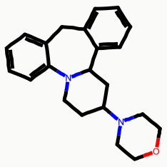 c1ccc2c(c1)Cc1ccccc1N1CCC(N3CCOCC3)CC21